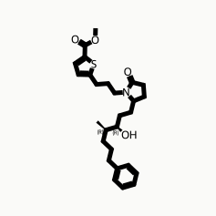 COC(=O)c1ccc(CCCN2C(=O)CCC2CC[C@@H](O)[C@H](C)CCCc2ccccc2)s1